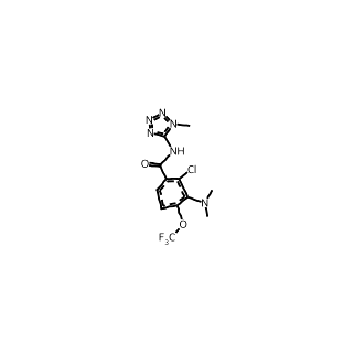 CN(C)c1c(OC(F)(F)F)ccc(C(=O)Nc2nnnn2C)c1Cl